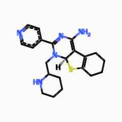 NC1=C2C3=C(CCCC3)S[C@H]2N(CC2CCCCN2)C(c2ccncc2)=N1